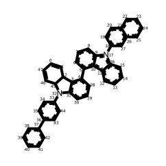 C1=CC2c3c(-c4cccc5c4c4ccccc4n5-c4ccc5ccccc5c4)cccc3N(c3ccc(-c4ccccc4)cc3)C2C=C1